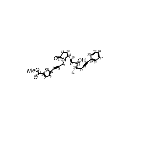 COC(=O)c1ccc(C#CCN2C(=O)CC[C@@H]2C=C[C@@H](O)[C@@H](C)CC#Cc2ccccc2)s1